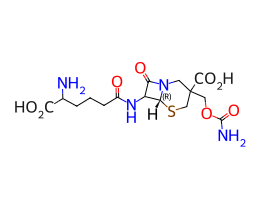 NC(=O)OCC1(C(=O)O)CS[C@@H]2C(NC(=O)CCCC(N)C(=O)O)C(=O)N2C1